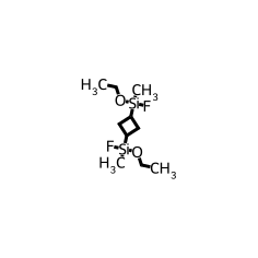 CCO[Si](C)(F)C1CC([Si](C)(F)OCC)C1